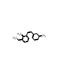 C=C1C=CC=C(/C=C\c2ccc/c(=C/C)c2=C)C1